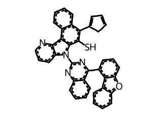 Sc1c(C2=CC=CC2)c2ccccc2c2c3ncccc3n(-c3nc(-c4cccc5oc6ccccc6c45)c4ccccc4n3)c12